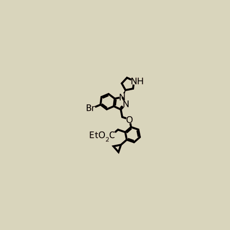 CCOC(=O)Cc1c(OCc2nn([C@H]3CCNC3)c3ccc(Br)cc23)cccc1C1CC1